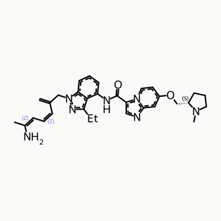 C=C(/C=C\C=C(\C)N)Cn1nc(CC)c2c(NC(=O)c3cnc4cc(OC[C@@H]5CCCN5C)ccn34)cccc21